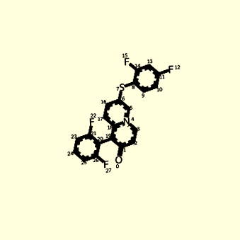 O=c1ccn2cc(Sc3ccc(F)cc3F)ccc2c1-c1c(F)cccc1F